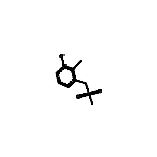 Cc1c(CS(C)(=O)=O)ccc[n+]1[O-]